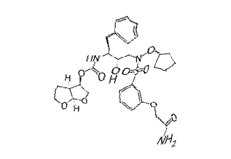 NC(=O)COc1cccc(S(=O)(=O)N(C[C@H](O)[C@H](Cc2ccccc2)NC(=O)O[C@H]2CO[C@H]3OCC[C@H]32)OC2CCCC2)c1